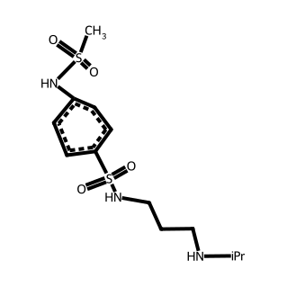 CC(C)NCCCNS(=O)(=O)c1ccc(NS(C)(=O)=O)cc1